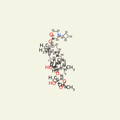 CC(=O)O[C@@H]([C@H]1C[C@@H](C)[C@H]2[C@H](O1)[C@H](O)[C@@]1(C)[C@@H]3CC[C@H]4C(C)(C)[C@@H](O[C@H]5CN(C6CCC6)CCO5)CC[C@@]45C[C@@]35CC[C@]21C)C(C)(C)O